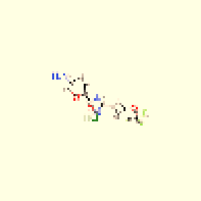 Cl.N[C@@H]1CC[C@@H](c2nc(C3CC(OC(F)(F)F)C3)no2)OC1